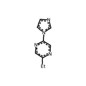 CCc1cnc(-n2ccnc2)cn1